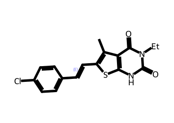 CCn1c(=O)[nH]c2sc(/C=C/c3ccc(Cl)cc3)c(C)c2c1=O